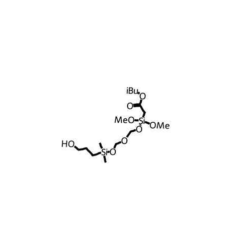 CCC(C)OC(=O)C[Si](OC)(OC)OCOCO[Si](C)(C)CCCO